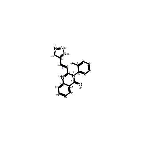 Cc1ccccc1-n1c(/C=C/C2=NN=NC2)nc2ccccc2c1=O